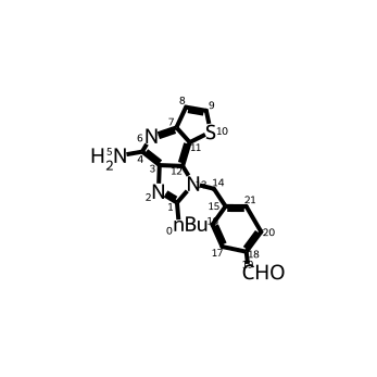 CCCCc1nc2c(N)nc3ccsc3c2n1Cc1ccc(C=O)cc1